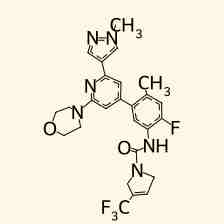 Cc1cc(F)c(NC(=O)N2CC=C(C(F)(F)F)C2)cc1-c1cc(-c2cnn(C)c2)nc(N2CCOCC2)c1